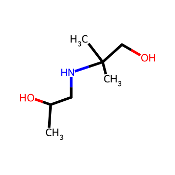 CC(O)CNC(C)(C)CO